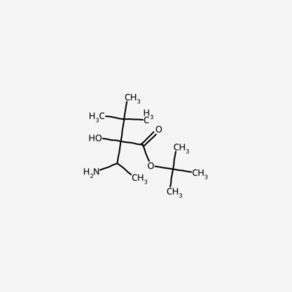 CC(N)C(O)(C(=O)OC(C)(C)C)C(C)(C)C